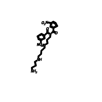 NCCCNCCCCNCCCN(C(=O)c1cccc([N+](=O)[O-])c1)C(=O)c1cccc([N+](=O)[O-])c1